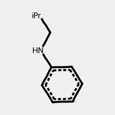 CC(C)CNc1cc[c]cc1